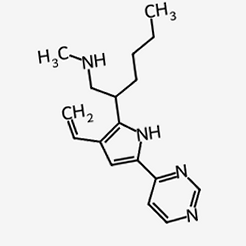 C=Cc1cc(-c2ccncn2)[nH]c1C(CCCC)CNC